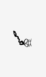 Oc1ccc(C=CC=Cc2ccccc2)cc1O